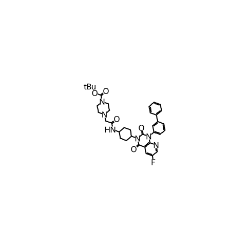 CC(C)(C)OC(=O)N1CCN(CC(=O)NC2CCC(n3c(=O)c4cc(F)cnc4n(-c4cccc(-c5ccccc5)c4)c3=O)CC2)CC1